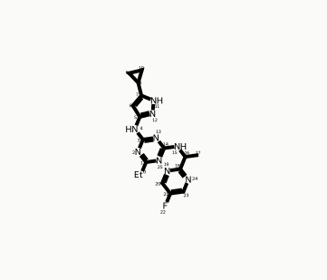 CCc1nc(Nc2cc(C3CC3)[nH]n2)nc(NC(C)c2ncc(F)cn2)n1